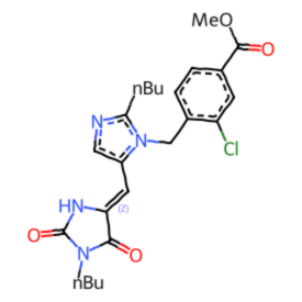 CCCCc1ncc(/C=C2\NC(=O)N(CCCC)C2=O)n1Cc1ccc(C(=O)OC)cc1Cl